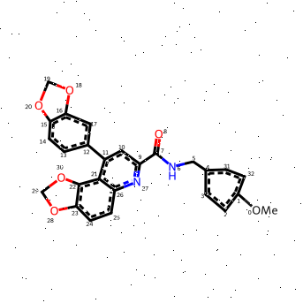 COc1ccc(CNC(=O)c2cc(-c3ccc4c(c3)OCO4)c3c4c(ccc3n2)OCO4)cc1